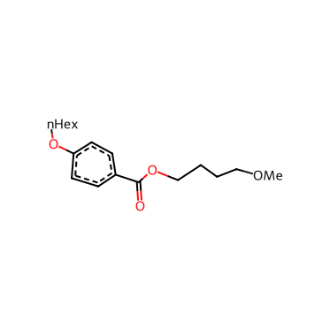 CCCCCCOc1ccc(C(=O)OCCCCOC)cc1